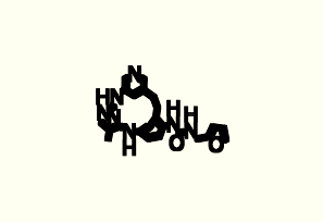 Cc1cnc2nc1Nc1ccc(NC(=O)NCc3ccco3)c(c1)CCc1cncc(c1)N2